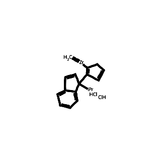 Cl.Cl.[CH2]=[Zr][C]1=C(C2(C(C)C)C=Cc3ccccc32)C=CC1